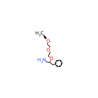 CC#COCCOCCOC(CN)Cc1ccccc1